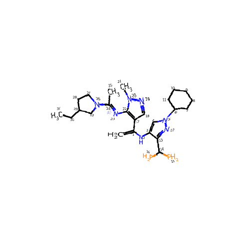 C=C(Nc1cn(C2CCCCC2)nc1C(P)P)c1cnn(C)c1/N=C(\C)N1CCC(CC)C1